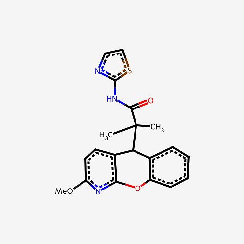 COc1ccc2c(n1)Oc1ccccc1C2C(C)(C)C(=O)Nc1nccs1